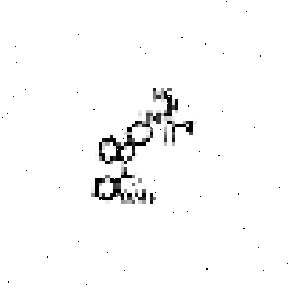 COc1ccccc1C(=O)NC[C@]1(c2ccccc2)CC[C@H](N/C(=N\C#N)NC2CC2)CC1